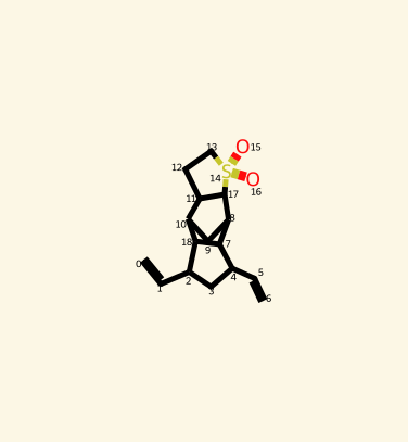 C=CC1CC(C=C)C2C3CC(C4CCS(=O)(=O)C43)C12